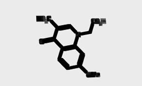 COc1ccc2c(=O)c(C(=O)O)cn(CC(=O)O)c2c1